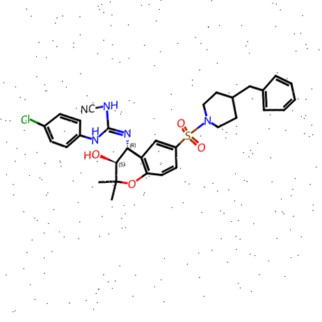 CC1(C)Oc2ccc(S(=O)(=O)N3CCC(Cc4ccccc4)CC3)cc2[C@@H](N=C(NC#N)Nc2ccc(Cl)cc2)[C@@H]1O